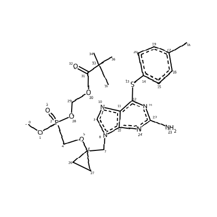 [CH2]OP(=O)(COC1(Cn2cnc3c(Sc4ccc(C)cc4)nc(N)nc32)CC1)OCOC(=O)C(C)(C)C